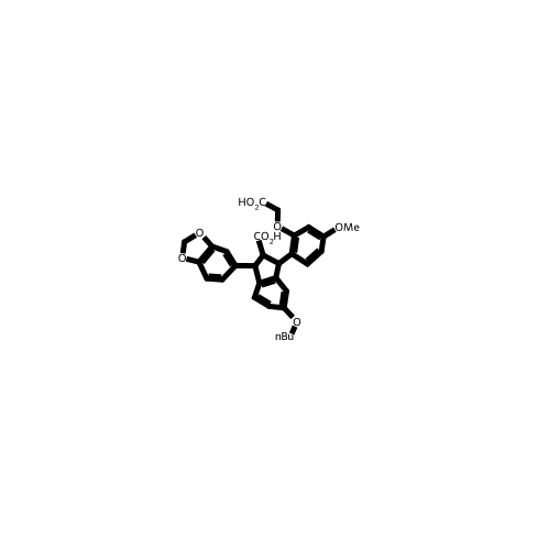 CCCCOc1ccc2c(c1)C(c1ccc(OC)cc1OCC(=O)O)C(C(=O)O)C2c1ccc2c(c1)OCO2